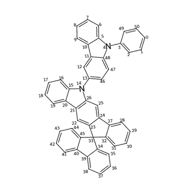 c1ccc(-n2c3ccccc3c3cc(-n4c5ccccc5c5cc6c(cc54)-c4ccccc4C64c5ccccc5-c5ccccc54)ccc32)cc1